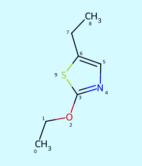 CCOc1ncc(CC)s1